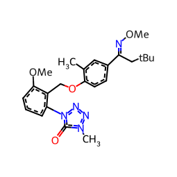 CON=C(CC(C)(C)C)c1ccc(OCc2c(OC)cccc2-n2nnn(C)c2=O)c(C)c1